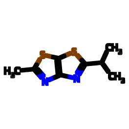 Cc1nc2nc(C(C)C)sc2s1